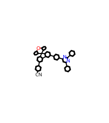 N#Cc1ccc(-c2ccc3c(c2)-c2cc(-c4ccc(-c5cc(-c6ccccc6)nc(-c6ccccc6)n5)cc4)ccc2C32c3ccccc3Oc3ccccc32)cc1